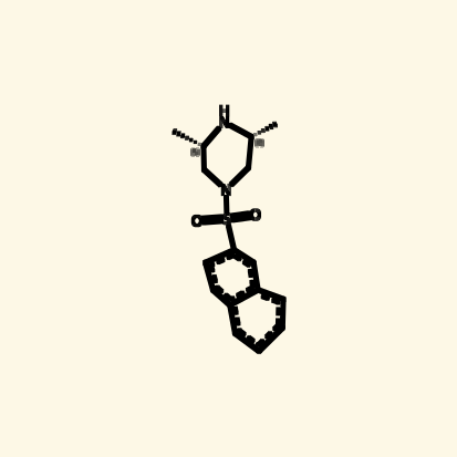 C[C@@H]1CN(S(=O)(=O)c2ccc3ccccc3c2)C[C@H](C)N1